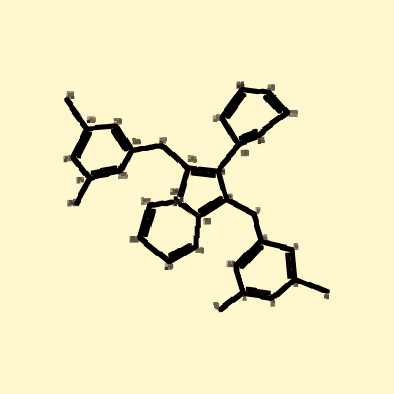 Cc1cc(C)cc(Cc2c(-c3ccccc3)c(Cc3cc(C)cc(C)c3)n3ccccc23)c1